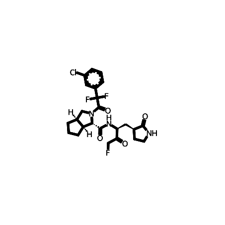 O=C1NCC[C@H]1C[C@H](NC(=O)[C@@H]1[C@H]2CCC[C@H]2CN1C(=O)C(F)(F)c1cccc(Cl)c1)C(=O)CF